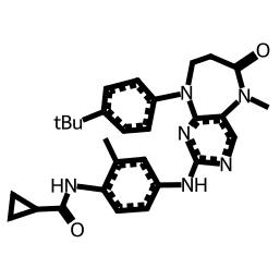 Cc1cc(Nc2ncc3c(n2)N(c2ccc(C(C)(C)C)cc2)CCC(=O)N3C)ccc1NC(=O)C1CC1